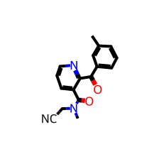 Cc1cccc(C(=O)c2ncccc2C(=O)N(C)CC#N)c1